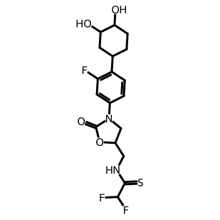 O=C1OC(CNC(=S)C(F)F)CN1c1ccc(C2CCC(O)C(O)C2)c(F)c1